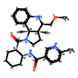 COC[C@@H]1Nc2ccccc2[C@H]2[C@@H]1CCN2C(=O)[C@H]1CCCC[C@H]1NC(=O)c1ccc(C)nc1